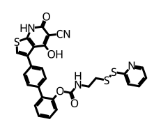 N#Cc1c(O)c2c(-c3ccc(-c4ccccc4OC(=O)NCCSSc4ccccn4)cc3)csc2[nH]c1=O